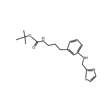 CC(C)(C)OC(=O)NCCCc1cccc(NCc2nccs2)c1